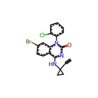 C#CC1(Nc2nc(=O)n(-c3ccccc3Cl)c3cc(Br)ccc23)CC1